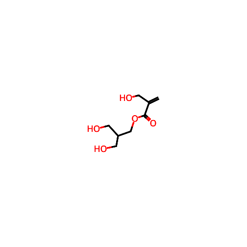 C=C(CO)C(=O)OCC(CO)CO